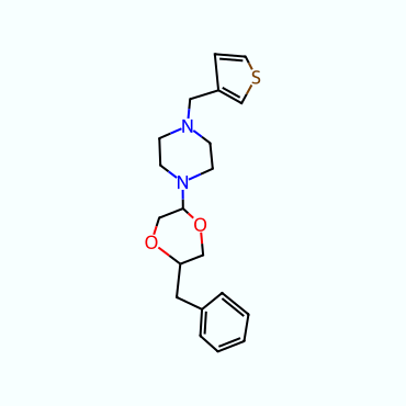 c1ccc(CC2COC(N3CCN(Cc4ccsc4)CC3)CO2)cc1